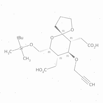 C#CCO[C@H]1[C@H](CC(=O)O)[C@H](CO[Si](C)(C)C(C)(C)C)O[C@@]2(CCCO2)[C@@H]1CC(=O)O